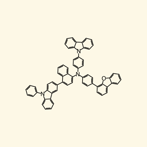 c1ccc(-n2c3ccccc3c3cc(-c4ccc(N(c5ccc(-c6cccc7c6oc6ccccc67)cc5)c5ccc(-n6c7ccccc7c7ccccc76)cc5)c5ccccc45)ccc32)cc1